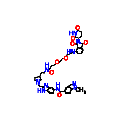 Cn1ncc2cc(C(=O)Nc3ccc4[nH]c(CN5CCC(CCNC(=O)CCOCCOCCNc6cccc7c6C(=O)N(C6CCC(=O)NC6=O)C7=O)C5)nc4c3)ccc21